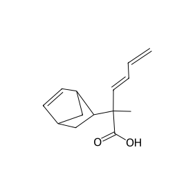 C=CC=CC(C)(C(=O)O)C1CC2C=CC1C2